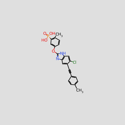 Cc1ccc(C#Cc2cc3nc(Oc4ccc(C)c(P(=O)(O)O)c4)[nH]c3cc2Cl)cc1